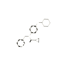 O=C(C1CC1)N(Cc1cccnc1)c1ccc(OC2CCCCC2)cc1